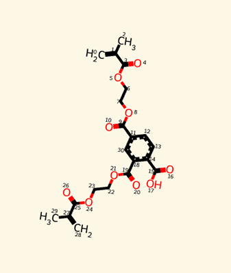 C=C(C)C(=O)OCCOC(=O)c1ccc(C(=O)O)c(C(=O)OCCOC(=O)C(=C)C)c1